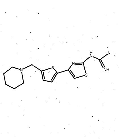 N=C(N)Nc1nc(-c2ccc(CN3CCCCC3)s2)cs1